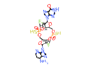 Nc1ccnc2c1ncn2C1OC2COP(=O)(S)O[C@@H]3C(COP(=O)(S)O[C@H]2[C@H]1F)OC(n1cnc2c(=O)[nH]cnc21)[C@@H]3F